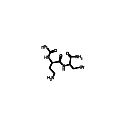 CCCC(=O)NC(CCN)C(=O)NC(CC(C)C)C(N)=O